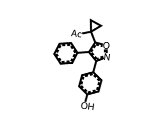 CC(=O)C1(c2onc(-c3ccc(O)cc3)c2-c2ccccc2)CC1